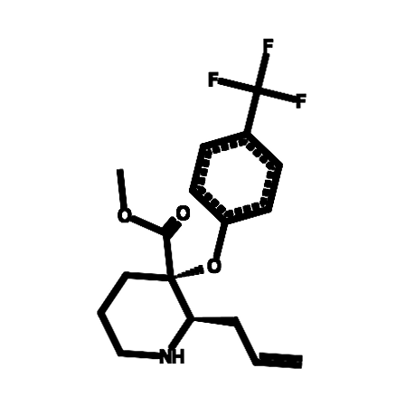 C=CC[C@H]1NCCC[C@@]1(Oc1ccc(C(F)(F)F)cc1)C(=O)OC